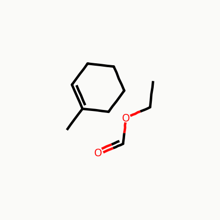 CC1=CCCCC1.CCOC=O